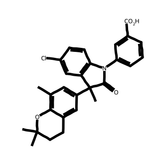 Cc1cc(C2(C)C(=O)N(c3cccc(C(=O)O)c3)c3ccc(Cl)cc32)cc2c1OC(C)(C)CC2